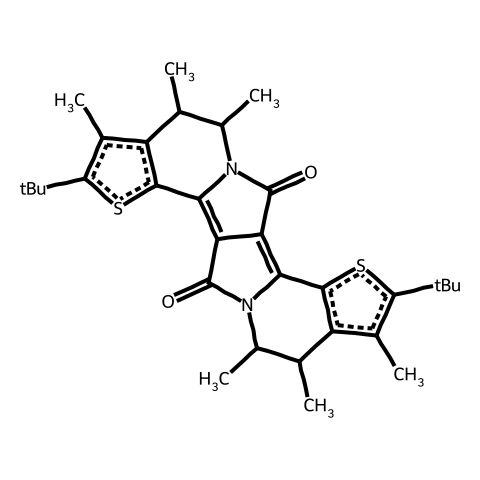 Cc1c(C(C)(C)C)sc2c1C(C)C(C)N1C(=O)C3=C4c5sc(C(C)(C)C)c(C)c5C(C)C(C)N4C(=O)C3=C21